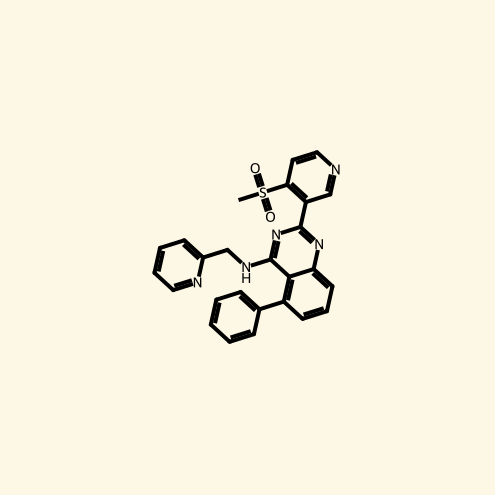 CS(=O)(=O)c1ccncc1-c1nc(NCc2ccccn2)c2c(-c3ccccc3)cccc2n1